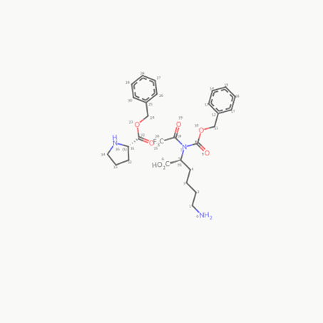 NCCCC[C@@H](C(=O)O)N(C(=O)OCc1ccccc1)C(=O)C(F)(F)F.O=C(OCc1ccccc1)[C@@H]1CCCN1